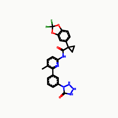 Cc1ccc(NC(=O)C2(c3ccc4c(c3)OC(F)(F)O4)CC2)nc1-c1cccc(N2NNNC2=O)c1